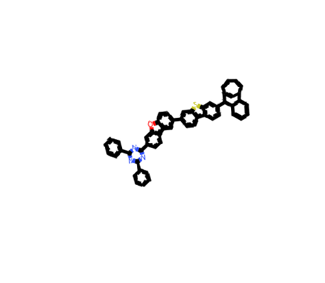 C1=CC2=CC(C=C1)C1C=CC=CC1C2c1ccc2c(c1)sc1cc(-c3ccc4oc5cc(-c6nc(-c7ccccc7)nc(-c7ccccc7)n6)ccc5c4c3)ccc12